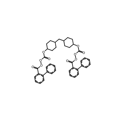 O=C(OOC(=O)c1ccccc1-c1ccccc1)OC1CCC(CC2CCC(OC(=O)OOC(=O)c3ccccc3-c3ccccc3)CC2)CC1